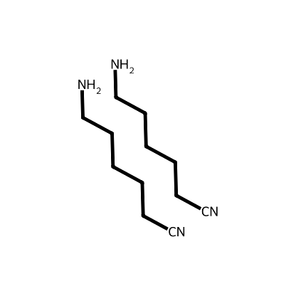 N#CCCCCCN.N#CCCCCCN